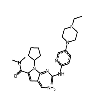 C=C(/N=C1\C(=C/N)C=C(C(=O)N(C)C)N1C1CCCC1)Nc1ccc(N2CCN(CC)CC2)cn1